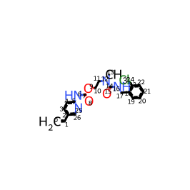 C=Cc1ccc(NC(=O)OCCN(C)C(=O)NCc2ccccc2Cl)nc1